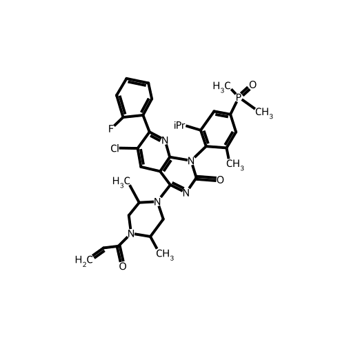 C=CC(=O)N1CC(C)N(c2nc(=O)n(-c3c(C)cc(P(C)(C)=O)cc3C(C)C)c3nc(-c4ccccc4F)c(Cl)cc23)CC1C